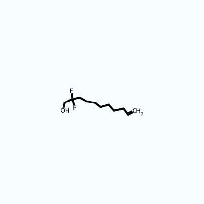 C=CCCCCCCCC(F)(F)CO